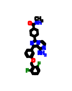 CNC(=O)C1CCC(c2nc(-c3cccc(OCc4c(F)cccc4F)c3)c3c(N)nccn23)CC1